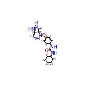 O=C(Nc1ccc(ON2C=NC=C3NNC=C32)cc1)NC1CCCCC1